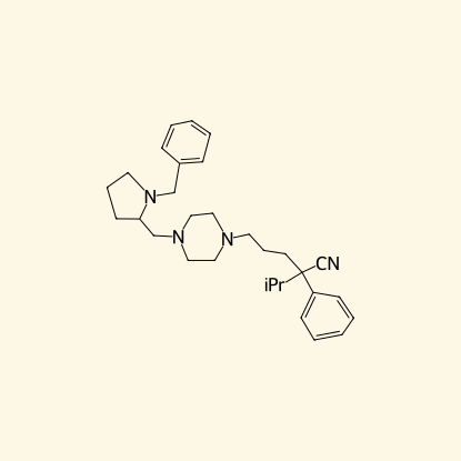 CC(C)C(C#N)(CCCN1CCN(CC2CCCN2Cc2ccccc2)CC1)c1ccccc1